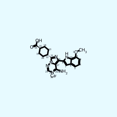 COc1cccc2cc(-c3nc([C@H]4CC[C@H](C(=O)O)CC4)n4ncnc(N)c34)[nH]c12.[Ca]